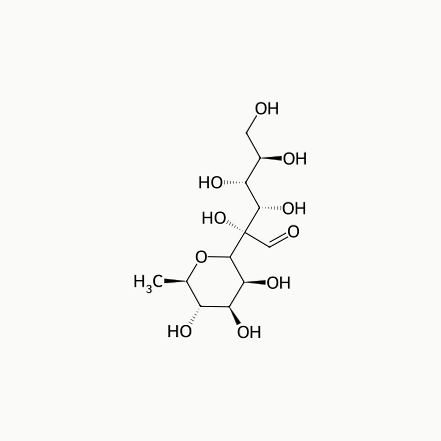 C[C@H]1OC([C@](O)(C=O)[C@@H](O)[C@H](O)[C@H](O)CO)[C@@H](O)[C@@H](O)[C@@H]1O